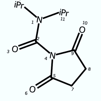 CC(C)N(C(=O)N1C(=O)CCC1=O)C(C)C